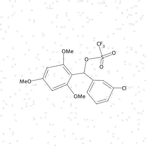 COc1cc(OC)c(C(OS(=O)(=O)C(F)(F)F)c2cccc(Cl)c2)c(OC)c1